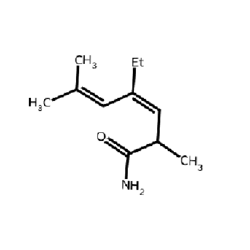 CC/C(C=C(C)C)=C/C(C)C(N)=O